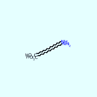 NCCCCCCCCCCCCCCCC(=O)O.NCCCCCCCCCCCCCCCC(=O)O